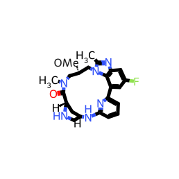 CO[C@H]1CN(C)C(=O)[C@@H]2C[C@@H](CN2)Nc2cccc(n2)-c2cc(F)cc3nc(C)n(c23)C1